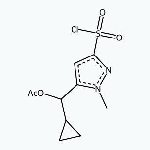 CC(=O)OC(c1cc(S(=O)(=O)Cl)nn1C)C1CC1